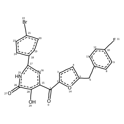 O=C(c1ccc(Cc2ccc(F)cc2)o1)c1nc(-c2ccc(Br)cc2)[nH]c(=O)c1O